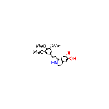 COc1cc(CC[C@@H]2NCCc3cc(O)c(O)cc32)cc(OC)c1OC